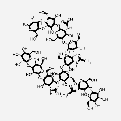 CC(=O)N[C@H]1[C@H](OC[C@H]2O[C@@H](O[C@H]3[C@H](O)[C@@H](NC(C)=O)[C@H](O[C@H]4[C@@H](O)[C@@H](CO)O[C@@H](O[C@H]5[C@H](O)[C@@H](NC(C)=O)[C@H](O[C@H]6[C@@H](O)[C@@H](CO)O[C@@H](O[C@H]7[C@H](O)[C@@H](O)[C@H](O)O[C@@H]7CO)[C@@H]6O)O[C@@H]5CO)[C@@H]4O)O[C@@H]3CO)[C@H](O)[C@@H](O[C@@H]3O[C@H](CO)[C@@H](O[C@@H]4O[C@H](CO)[C@H](O)[C@H](O[C@H]5O[C@H](CO)[C@H](O)[C@H](O)[C@H]5O)[C@H]4O)[C@H](O)[C@H]3NC(C)=O)[C@H]2O)O[C@H](CO)[C@@H](O[C@@H]2O[C@H](CO)[C@H](O)[C@H](O)[C@H]2O)[C@@H]1O